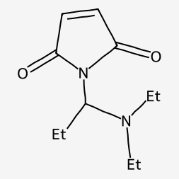 CCC(N(CC)CC)N1C(=O)C=CC1=O